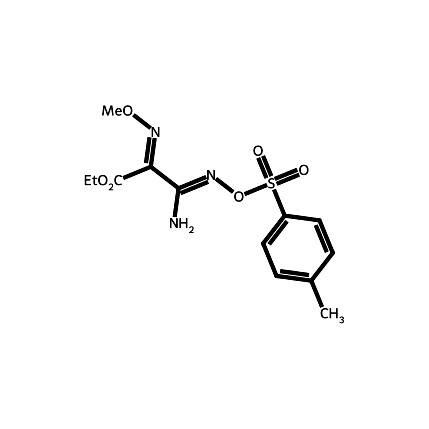 CCOC(=O)C(=NOC)C(N)=NOS(=O)(=O)c1ccc(C)cc1